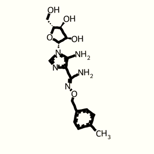 Cc1ccc(CON=C(N)c2ncn([C@@H]3O[C@H](CO)[C@@H](O)[C@H]3O)c2N)cc1